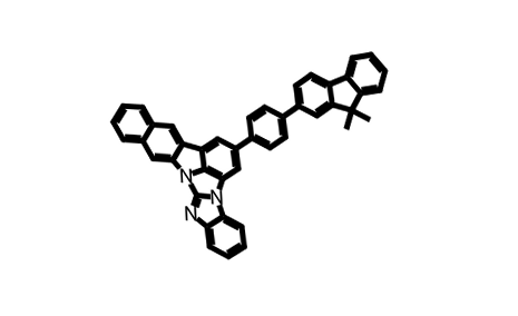 CC1(C)c2ccccc2-c2ccc(-c3ccc(-c4cc5c6cc7ccccc7cc6n6c5c(c4)n4c5ccccc5nc46)cc3)cc21